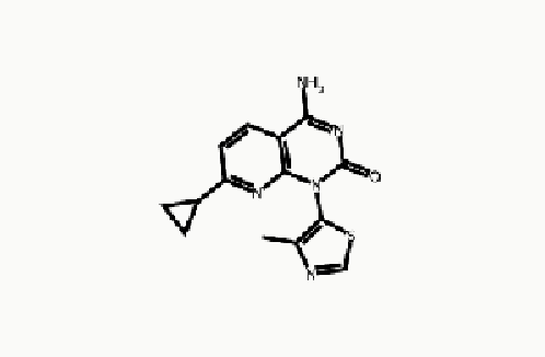 Cc1ncsc1-n1c(=O)nc(N)c2ccc(C3CC3)nc21